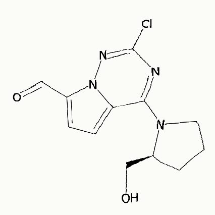 O=Cc1ccc2c(N3CCC[C@H]3CO)nc(Cl)nn12